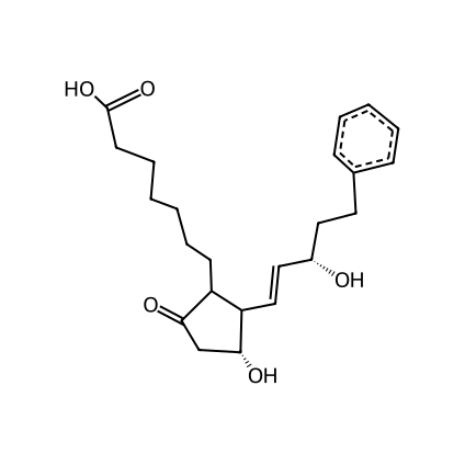 O=C(O)CCCCCCC1C(=O)C[C@@H](O)C1/C=C/[C@@H](O)CCc1ccccc1